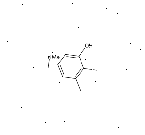 CNC.Cc1cccc(O)c1C